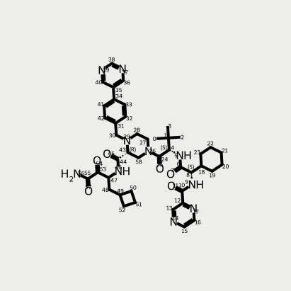 CC(C)(C)[C@H](NC(=O)[C@@H](NC(=O)c1cnccn1)C1CCCCC1)C(=O)N1CCN(Cc2ccc(-c3cncnc3)cc2)[C@@H](C(=O)NC(CC2CCC2)C(=O)C(N)=O)C1